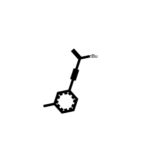 C=C(C#Cc1cccc(C)c1)C(C)(C)C